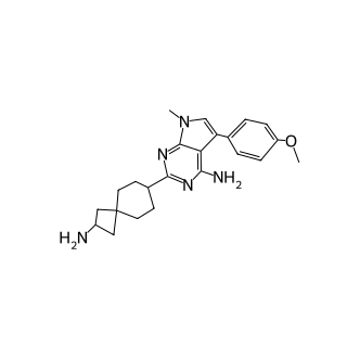 COc1ccc(-c2cn(C)c3nc(C4CCC5(CC4)CC(N)C5)nc(N)c23)cc1